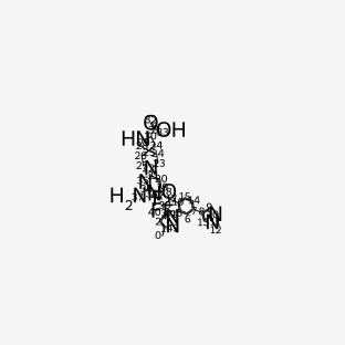 Cc1ccn(-c2cc(-c3cnn(C)c3)ccc2[C@@H](Oc2cc(N3CCC4(CC3)CN[C@H](C(=O)O)C4)nc(N)n2)C(F)(F)F)n1